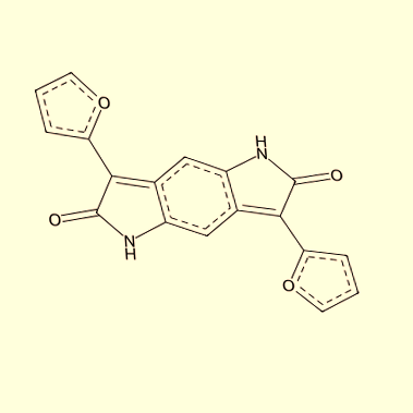 O=C1Nc2cc3c(cc2=C1c1ccco1)NC(=O)C=3c1ccco1